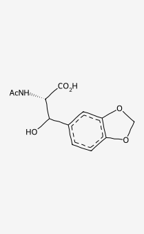 CC(=O)N[C@H](C(=O)O)C(O)c1ccc2c(c1)OCO2